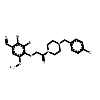 COc1cc(C=O)c(Br)c(Br)c1OCC(=O)N1CCN(Cc2ccc(Cl)cc2)CC1